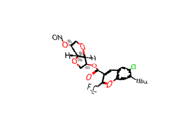 CC(C)(C)c1cc2c(cc1Cl)C=C(C(=O)O[C@H]1CO[C@H]3[C@@H]1OC[C@H]3ON=O)C(C(F)(F)F)O2